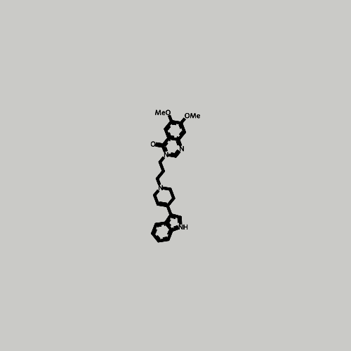 COc1cc2ncn(CCCN3CC=C(c4c[nH]c5ccccc45)CC3)c(=O)c2cc1OC